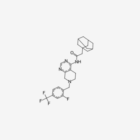 O=C(CC12CC3CC(CC(C3)C1)C2)Nc1ncnc2c1CCN(Cc1ccc(C(F)(F)F)cc1F)C2